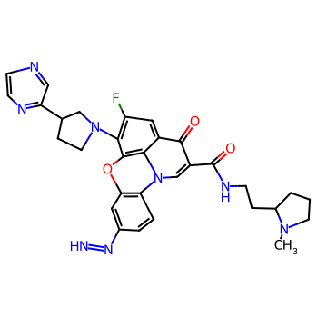 CN1CCCC1CCNC(=O)c1cn2c3c(c(N4CCC(c5cnccn5)C4)c(F)cc3c1=O)Oc1cc(N=N)ccc1-2